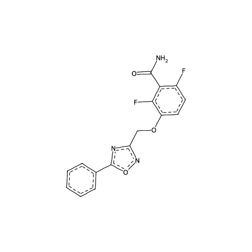 NC(=O)c1c(F)ccc(OCc2noc(-c3ccccc3)n2)c1F